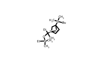 CCC(C)[Si](C)(C)C12CC[Si](C(C)(CC)O[Si](C)(C)CC)(C1)O2